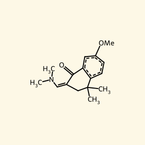 COc1ccc2c(c1)C(=O)/C(=C\N(C)C)CC2(C)C